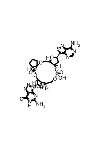 Nc1nc2c(nnn2[C@@H]2O[C@@H]3COP(=O)(O)O[C@H]4C[C@H](c5snc6c(N)ncnc56)O[C@@H]4COC4(CCCC4)P(=O)(O)O[C@@H]2[C@@H]3O)c(=O)[nH]1